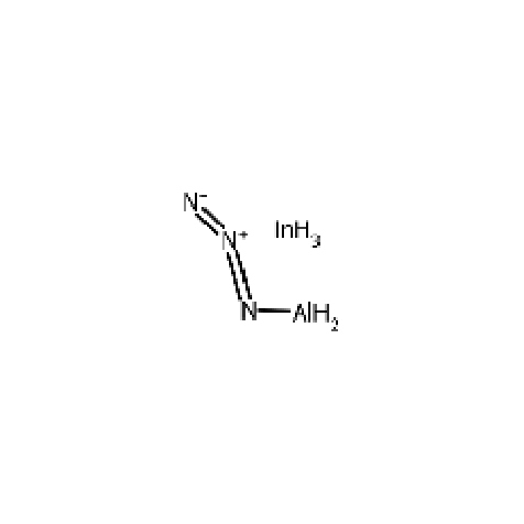 [InH3].[N-]=[N+]=[N][AlH2]